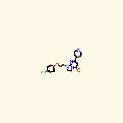 O=c1cc(-c2ccncc2)nc2n1CCN2CCOc1ccc(Cl)cc1